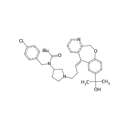 CCC(C)C(=O)N(Cc1ccc(Cl)cc1)C1CCN(CC/C=C2\c3cc(C(C)(C)O)ccc3OCc3ncccc32)C1